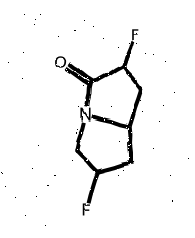 O=C1C(F)CC2CC(F)CN12